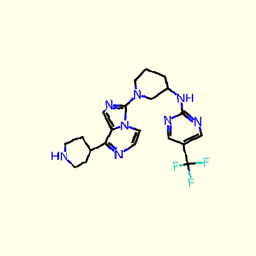 FC(F)(F)c1cnc(NC2CCCN(c3ncc4c(C5CCNCC5)nccn34)C2)nc1